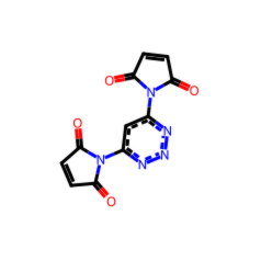 O=C1C=CC(=O)N1c1cc(N2C(=O)C=CC2=O)nnn1